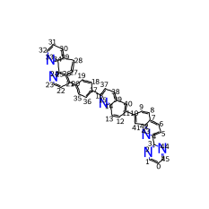 c1cnc(-c2ccc3ccc(-c4ccc5nc(-c6ccc(-c7ccnc8c7ccc7cccnc78)cc6)ccc5c4)cc3n2)nc1